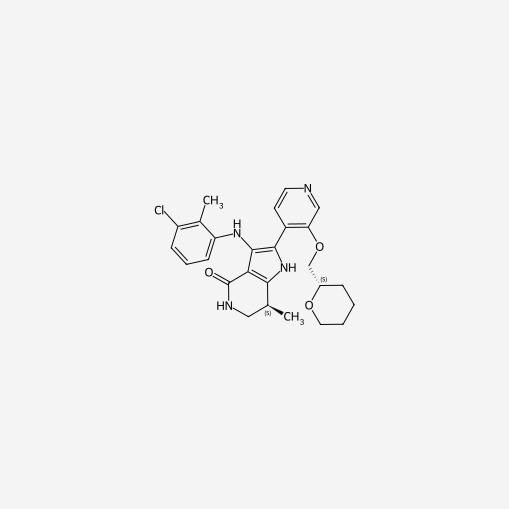 Cc1c(Cl)cccc1Nc1c(-c2ccncc2OC[C@@H]2CCCCO2)[nH]c2c1C(=O)NC[C@@H]2C